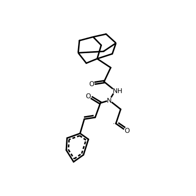 O=[C]CN(NC(=O)CC12CC3CC(CC(C3)C1)C2)C(=O)/C=C/c1ccccc1